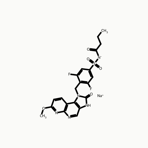 CCCC(=O)[N-]S(=O)(=O)c1cc(F)c(Cn2c(=O)[nH]c3cnc4nc(OC)ccc4c32)c(F)c1.[Na+]